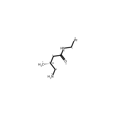 CC(C)CNC(=O)C[C@@H](C)CN